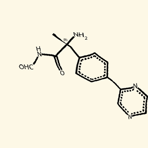 C[C@](N)(C(=O)NC=O)c1ccc(-c2cnccn2)cc1